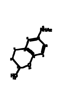 CC(=O)Nc1ccc2c(c1)CCC(O)O2